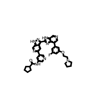 O=C(Nc1cncc(-c2cc3c(-c4nc5c(-c6cc(F)cc(OCCN7CCCC7)c6)cncc5[nH]4)n[nH]c3cn2)c1)C1CCCC1